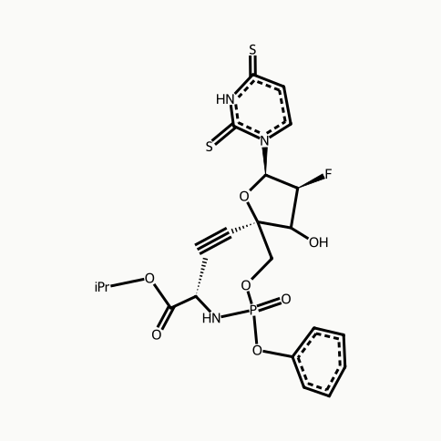 C#C[C@]1(COP(=O)(N[C@@H](C)C(=O)OC(C)C)Oc2ccccc2)O[C@@H](n2ccc(=S)[nH]c2=S)[C@@H](F)C1O